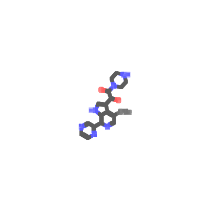 COc1cnc(-c2cnccn2)c2[nH]cc(C(=O)C(=O)N3CCNCC3)c12